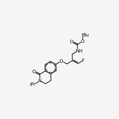 CC(C)N1CCc2cc(OC/C(=C/F)CNC(=O)OC(C)(C)C)ccc2C1=O